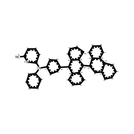 N#Cc1cccc(N(c2ccccc2)c2ccc(-c3c4ccccc4c(-c4cc5ccccc5c5ccccc45)c4ccccc34)cc2)n1